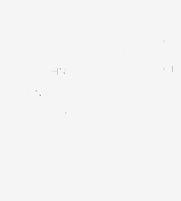 CC(C)(C)c1cccc(NC(=O)c2cc3cc(SCC(=O)O)ccc3[nH]2)c1